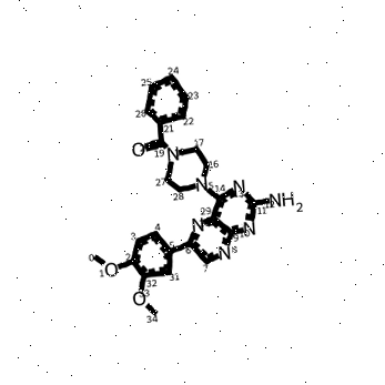 COc1ccc(-c2cnc3nc(N)nc(N4CCN(C(=O)c5ccccc5)CC4)c3n2)cc1OC